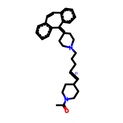 CC(=O)N1CCC(/C=C/CCCN2CCC(=C3c4ccccc4C=Cc4ccccc43)CC2)CC1